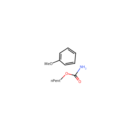 CCCCCOC(N)=O.COc1ccccc1